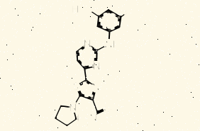 Cc1cc(C)cc(Nc2nccc(-c3nc(C(N)=O)c(N4CCCC4)s3)n2)c1